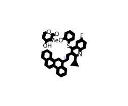 COc1ccccc1Sc1c(/C=C/C2Cc3c(ccc4c3CCC=C4)-c3ccccc32)c(C2CC2)nc2ccc(F)cc12.O=c1cc(O)cco1